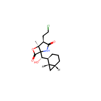 C[C@@]12OC(=O)C1([C@@H](O)[C@H]1CCC[C@@H]3C[C@@H]31)NC(=O)[C@@H]2CCCl